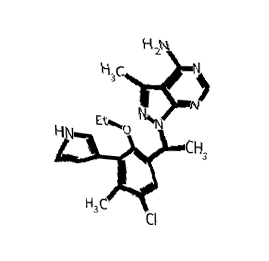 CCOc1c(C(C)n2nc(C)c3c(N)ncnc32)cc(Cl)c(C)c1-c1cc[nH]c1